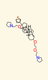 C[C@]12CCC(OCCOCCN3CCCC3)C=C1CC[C@@H]1[C@H]2CC[C@@]2(C)[C@H]1CCC2(OCCN1CCCC1)c1ccsc1